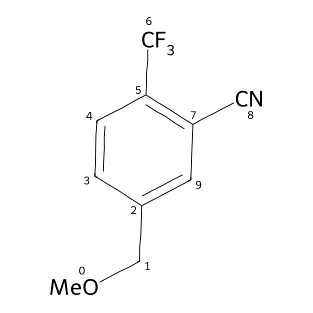 COCc1ccc(C(F)(F)F)c(C#N)c1